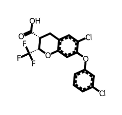 O=C(O)[C@@H]1Cc2cc(Cl)c(Oc3cccc(Cl)c3)cc2O[C@@H]1C(F)(F)F